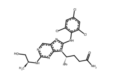 CCC[C@@H](CCC(N)=O)n1c(Nc2c(Cl)cc(Cl)cc2Cl)nc2cnc(N[C@@H](C)CO)nc21